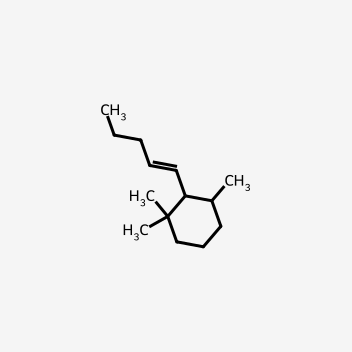 CCCC=CC1C(C)CCCC1(C)C